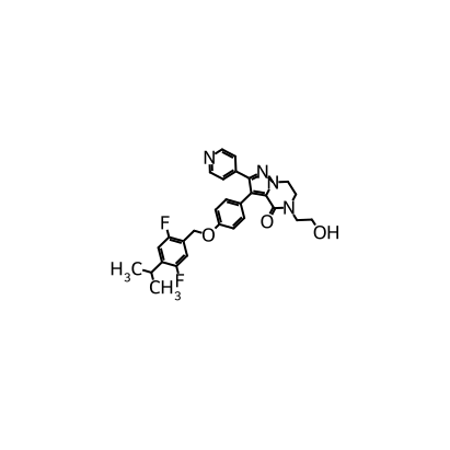 CC(C)c1cc(F)c(COc2ccc(-c3c(-c4ccncc4)nn4c3C(=O)N(CCO)CC4)cc2)cc1F